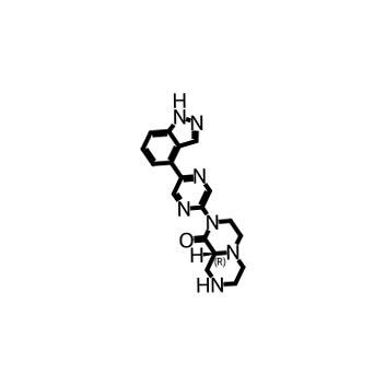 O=C1[C@H]2CNCCN2CCN1c1cnc(-c2cccc3[nH]ncc23)cn1